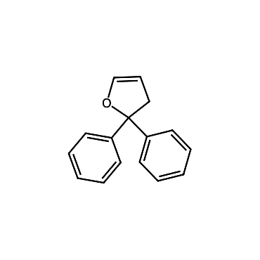 C1=COC(c2ccccc2)(c2ccccc2)C1